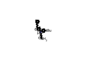 CC(C)(C)c1ccc(/C(=C\CCCC(N)=O)c2ccc(CCCc3ccccc3)c(=O)[nH]2)cc1